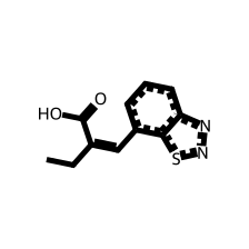 CCC(=Cc1cccc2nnsc12)C(=O)O